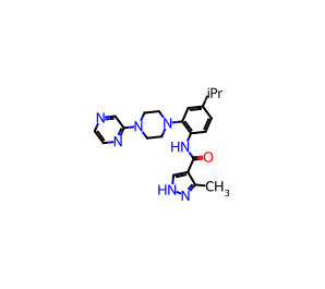 Cc1n[nH]cc1C(=O)Nc1ccc(C(C)C)cc1N1CCN(c2cnccn2)CC1